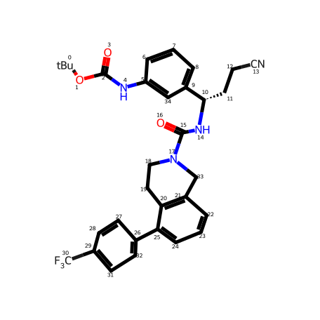 CC(C)(C)OC(=O)Nc1cccc([C@H](CCC#N)NC(=O)N2CCc3c(cccc3-c3ccc(C(F)(F)F)cc3)C2)c1